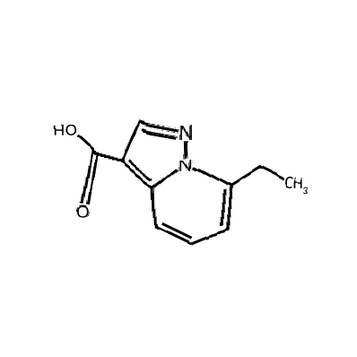 CCc1cccc2c(C(=O)O)cnn12